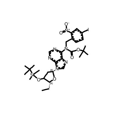 CC[C@H]1O[C@@H](n2cnc3c(N(Cc4ccc(I)cc4[N+](=O)[O-])C(=O)OC(C)(C)C)ncnc32)CC1O[Si](C)(C)C(C)(C)C